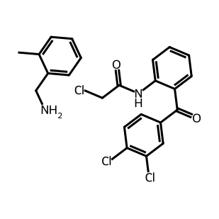 Cc1ccccc1CN.O=C(CCl)Nc1ccccc1C(=O)c1ccc(Cl)c(Cl)c1